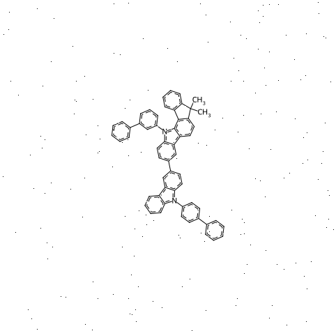 CC1(C)c2ccccc2-c2c1ccc1c3cc(-c4ccc5c(c4)c4ccccc4n5-c4ccc(-c5ccccc5)cc4)ccc3n(-c3cccc(-c4ccccc4)c3)c21